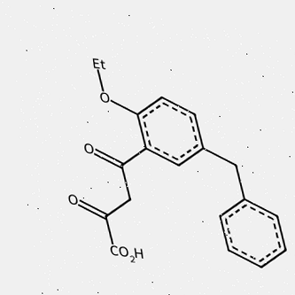 CCOc1ccc(Cc2ccccc2)cc1C(=O)CC(=O)C(=O)O